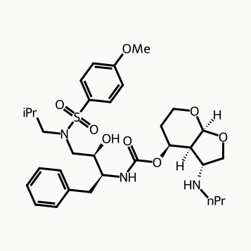 CCCN[C@H]1CO[C@@H]2OCC[C@H](OC(=O)N[C@@H](Cc3ccccc3)[C@H](O)CN(CC(C)C)S(=O)(=O)c3ccc(OC)cc3)[C@@H]21